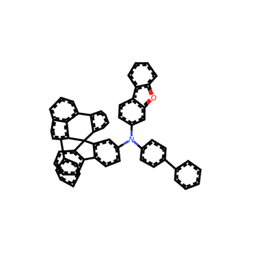 c1ccc(-c2ccc(N(c3ccc4c(c3)C3(c5ccccc5-4)c4ccccc4-c4cccc5ccc(-c6ccccc6)c3c45)c3ccc4c(c3)oc3ccccc34)cc2)cc1